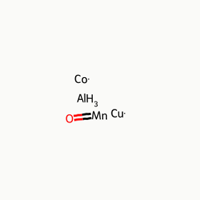 [AlH3].[Co].[Cu].[O]=[Mn]